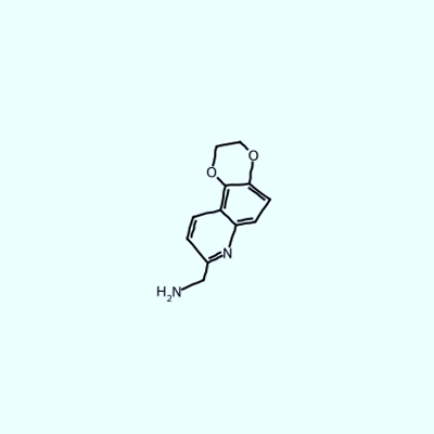 NCc1ccc2c3c(ccc2n1)OCCO3